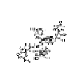 CCCOC[C@H]1[C@@H](O)[C@H](n2c[n+](C)c3c(=O)[nH]c(N)nc32)O[C@@H]1COP(=O)(O)OP(=O)(O)OP(=O)(O)OC[C@H]1O[C@@H](n2cnc3c(N)ncnc32)[C@H](OC)[C@@H]1OP(=O)(O)OC[C@H]1O[C@@H](n2ccc(=O)[nH]c2=O)[C@H](O)[C@@H]1O